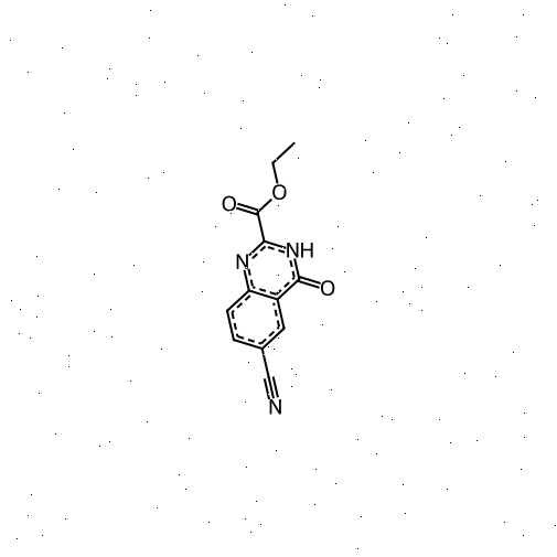 CCOC(=O)c1nc2ccc(C#N)cc2c(=O)[nH]1